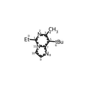 CCc1nc(C)c(C(C)(C)C)c2nccn12